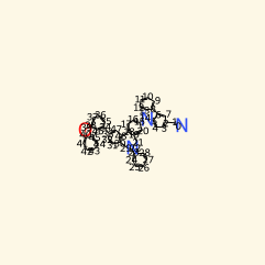 N#Cc1ccc2c(c1)c1ccccc1n2-c1ccc2c(c1)CN(c1ccccc1)Cc1ccc(-c3cccc4oc5ccccc5c34)cc1-2